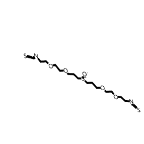 [O-][S+](CCCOCCOCCN=C=S)CCCOCCOCCN=C=S